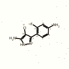 Nc1ccc(-c2n[nH]c(N)c2Cl)c(F)c1